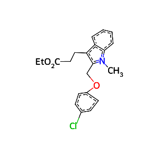 CCOC(=O)CCc1c(COc2ccc(Cl)cc2)n(C)c2ccccc12